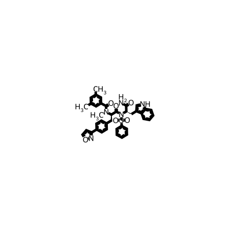 Cc1cc(C)cc(C(=O)N(C)[C@H](Cc2ccc(-c3ccon3)cc2)C(=O)N([C@@H](Cc2c[nH]c3ccccc23)C(N)=O)S(=O)(=O)c2ccccc2)c1